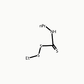 CCCNC(=S)SSCC